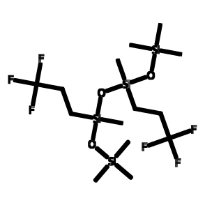 C[Si](C)(C)O[Si](C)(CCC(F)(F)F)O[Si](C)(CCC(F)(F)F)O[Si](C)(C)C